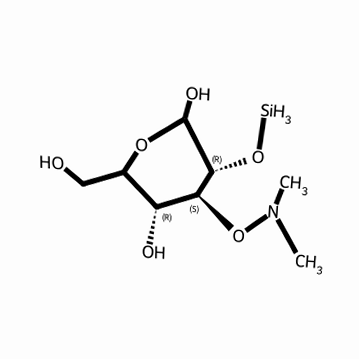 CN(C)O[C@H]1[C@H](O)C(CO)OC(O)[C@@H]1O[SiH3]